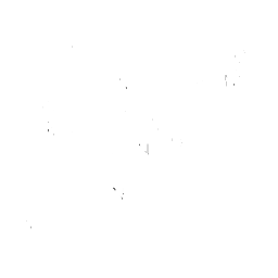 Cc1cc([N+](=O)[O-])cc(S(=O)(=O)N2CCN(Cc3ccncc3)CC2)c1N(CCBr)CCOS(C)(=O)=O